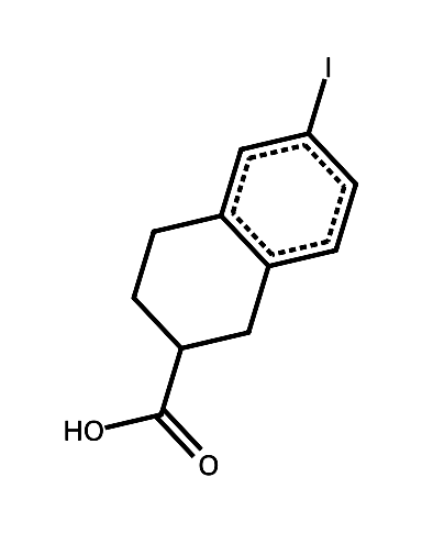 O=C(O)C1CCc2cc(I)ccc2C1